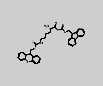 N[C@@H](CCCCNC(=O)OCC1c2ccccc2Oc2ccccc21)C(=O)OC(=O)OCC1c2ccccc2-c2ccccc21